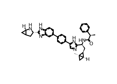 C[C@@H](C(=O)N[C@@H](C[C@H]1[C@H]2C[C@]21C)c1ncc(-c2ccc(-c3ccc4[nH]c([C@@H]5CC6C[C@@H]6N5)nc4c3)cc2)[nH]1)c1ccccc1